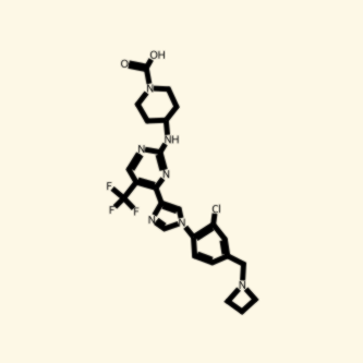 O=C(O)N1CCC(Nc2ncc(C(F)(F)F)c(-c3cn(-c4ccc(CN5CCC5)cc4Cl)cn3)n2)CC1